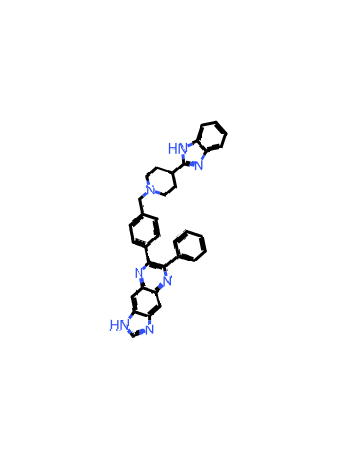 c1ccc(-c2nc3cc4nc[nH]c4cc3nc2-c2ccc(CN3CCC(c4nc5ccccc5[nH]4)CC3)cc2)cc1